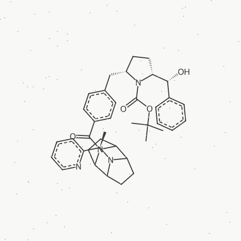 C[C@H](c1ccccn1)N1C2CCC1C1CCC2N1C(=O)c1ccc(C[C@@H]2CC[C@H]([C@H](O)c3ccccc3)N2C(=O)OC(C)(C)C)cc1